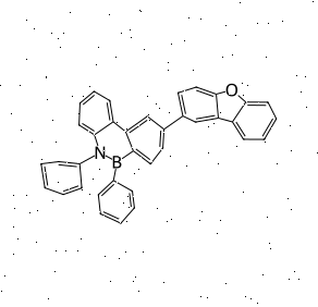 c1ccc(B2c3ccc(-c4ccc5oc6ccccc6c5c4)cc3-c3ccccc3N2c2ccccc2)cc1